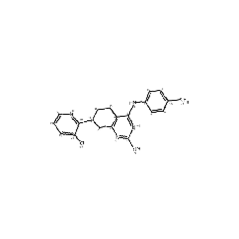 Oc1nc2c(c(Nc3ccc(C(F)(F)F)cc3)n1)CCN(c1ncccc1Cl)C2